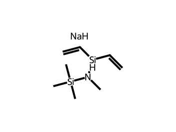 C=C[SiH](C=C)N(C)[Si](C)(C)C.[NaH]